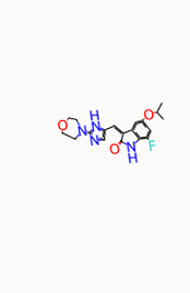 CC(C)Oc1cc(F)c2c(c1)/C(=C/c1cnc(N3CCOCC3)[nH]1)C(=O)N2